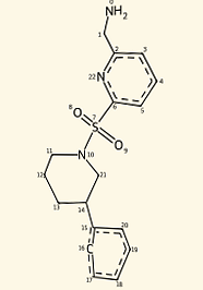 NCc1cccc(S(=O)(=O)N2C[CH]CC(c3ccccc3)C2)n1